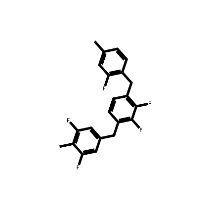 Cc1ccc(Cc2ccc(Cc3cc(F)c(C)c(F)c3)c(F)c2F)c(F)c1